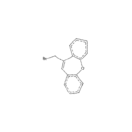 BrCC1=Cc2ccccc2Oc2ccccc21